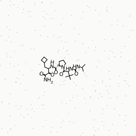 CC(C)NC(=O)NC(C(=O)N1CCC[C@H]1C(=O)NC(CC1CCC1)C(=O)C(N)=O)C(C)(C)C